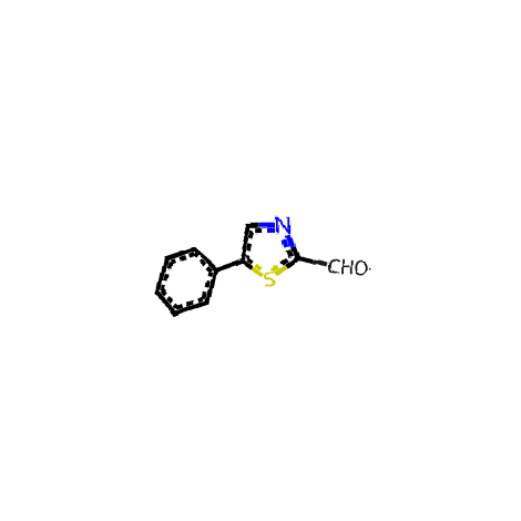 O=[C]c1ncc(-c2ccccc2)s1